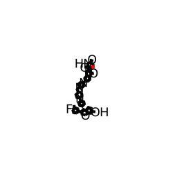 Cc1cc(C2COc3cc(O)ccc3[C@H]2c2ccc(N3CCC(CN4CCN(c5ccc6c(c5)CN(C5CCC(=O)NC5=O)C6=O)CC4)CC3)cc2)ccc1F